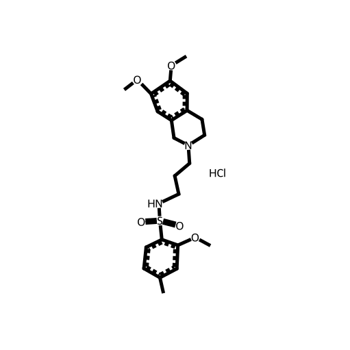 COc1cc2c(cc1OC)CN(CCCNS(=O)(=O)c1ccc(C)cc1OC)CC2.Cl